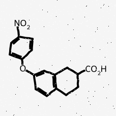 O=C(O)C1CCc2ccc(Oc3ccc([N+](=O)[O-])cc3)cc2C1